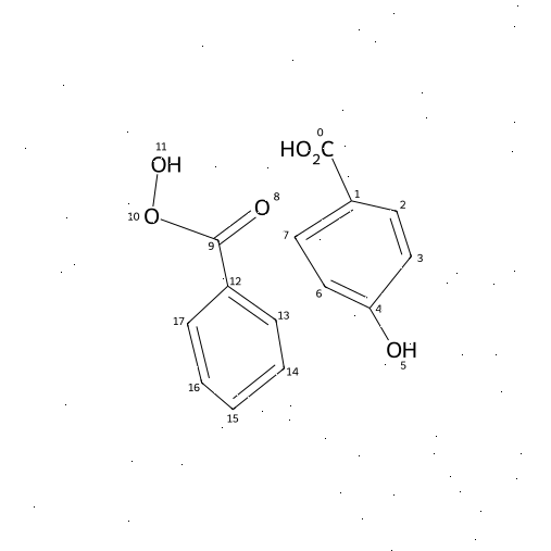 O=C(O)c1ccc(O)cc1.O=C(OO)c1ccccc1